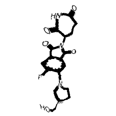 O=C1CCC(N2C(=O)c3cc(F)c(N4CC[C@@H](CO)C4)cc3C2=O)C(=O)N1